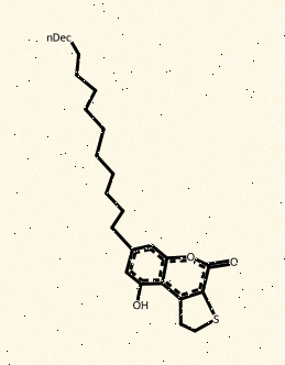 CCCCCCCCCCCCCCCCCCCCc1cc(O)c2c3c(c(=O)oc2c1)SCC3